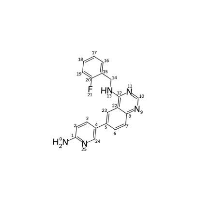 Nc1ccc(-c2ccc3ncnc(NCc4ccccc4F)c3c2)cn1